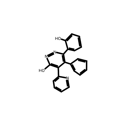 Oc1ccccc1-c1nnc(O)c(-c2ccccn2)c1-c1ccccc1